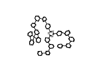 c1ccc(-c2cccc(-c3cccc(-c4cccc(-c5ccc(-c6nc(-c7ccc(-c8cccc(-c9cccc(-c%10cccc(-c%11ccc%12c(c%11)C%11(c%13ccccc%13-c%13ccccc%13%11)c%11ccccc%11-%12)c%10)c9)c8)cc7)nc(-c7cccc(-c8cccc(-c9cccc(-c%10ccccc%10)c9)c8)c7)n6)cc5)c4)c3)c2)cc1